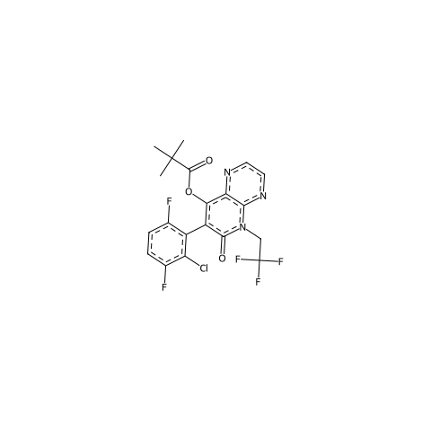 CC(C)(C)C(=O)Oc1c(-c2c(F)ccc(F)c2Cl)c(=O)n(CC(F)(F)F)c2nccnc12